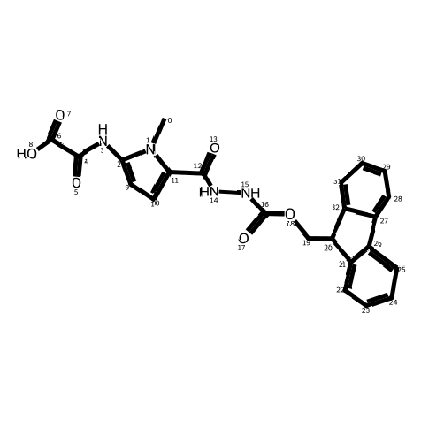 Cn1c(NC(=O)C(=O)O)ccc1C(=O)NNC(=O)OCC1c2ccccc2-c2ccccc21